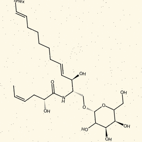 C/C=C\C[C@@H](O)C(=O)N[C@@H](CO[C@@H]1OC(CO)[C@@H](O)[C@@H](O)C1O)[C@H](O)/C=C/CCCCC/C=C/CCCCCC